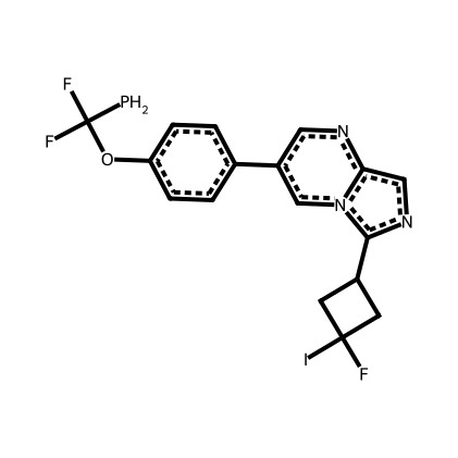 FC1(I)CC(c2ncc3ncc(-c4ccc(OC(F)(F)P)cc4)cn23)C1